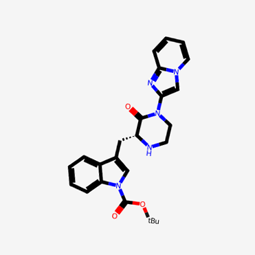 CC(C)(C)OC(=O)n1cc(C[C@H]2NCCN(c3cn4ccccc4n3)C2=O)c2ccccc21